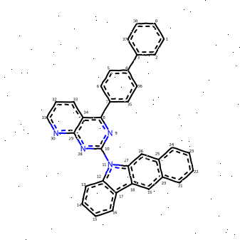 c1ccc(-c2ccc(-c3nc(-n4c5ccccc5c5cc6ccccc6cc54)nc4ncccc34)cc2)cc1